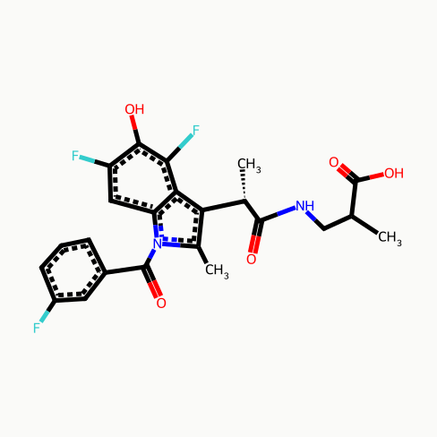 Cc1c([C@H](C)C(=O)NCC(C)C(=O)O)c2c(F)c(O)c(F)cc2n1C(=O)c1cccc(F)c1